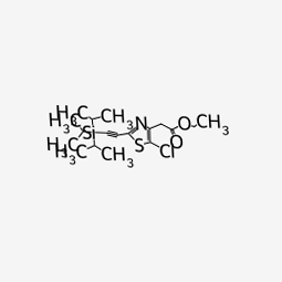 CCOC(=O)Cc1nc(C#C[Si](C(C)C)(C(C)C)C(C)C)sc1Cl